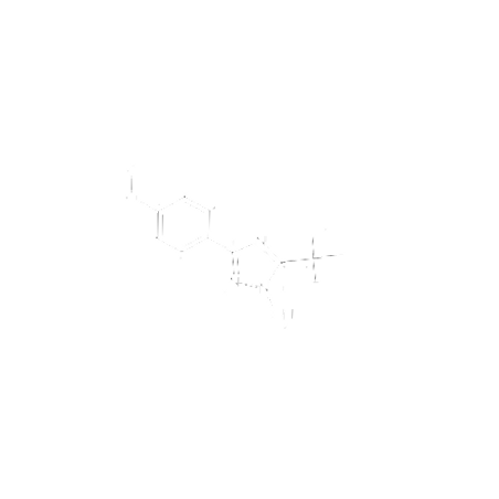 COc1ccc(-c2nc(C(F)(F)F)n(C)n2)cc1